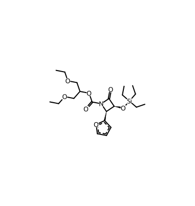 CCOCC(COCC)OC(=O)N1C(=O)[C@@H](O[Si](CC)(CC)CC)[C@H]1c1ccco1